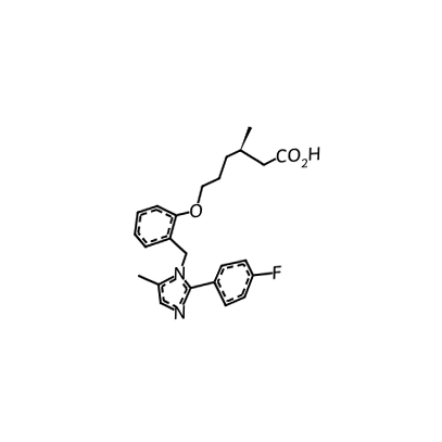 Cc1cnc(-c2ccc(F)cc2)n1Cc1ccccc1OCCC[C@@H](C)CC(=O)O